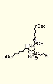 CCCCCCCCCCCCC/C=C/[C@@H](O)[C@H](COP(=O)(Br)OCCBr)NC(=O)CCCCCCCCCCCCCCC